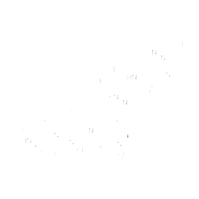 Cc1ccnc2c(C(=O)Nc3cn([C@H]4C[C@H](CN(C)C5CCN(c6cccc7c6n(C)c(=O)n7C6CCC(=O)NC6=O)CC5)C4)nc3C(F)F)cnn12